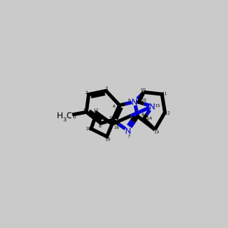 Cc1ccc2c(c1)nc1n2C2CCC1CN(C1CCC1)C2